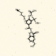 Br.CC(C)(C)c1cc(C(=O)CN2Cc3ccc(CO)nc3C2=N)cc(OCCCC#N)c1OCC(=O)O